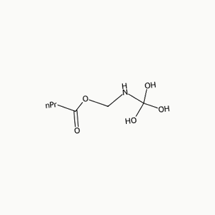 CCCC(=O)OCNC(O)(O)O